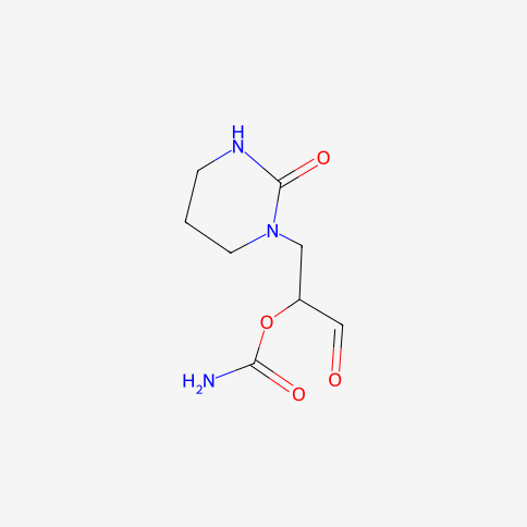 NC(=O)OC(C=O)CN1CCCNC1=O